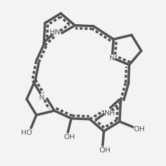 Oc1c(O)c2[nH]c1cc1nc(cc3ccc(cc4nc(c2O)C(O)C4)[nH]3)CC1